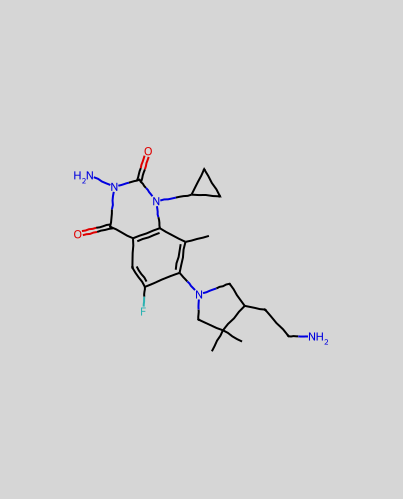 Cc1c(N2CC(CCN)C(C)(C)C2)c(F)cc2c(=O)n(N)c(=O)n(C3CC3)c12